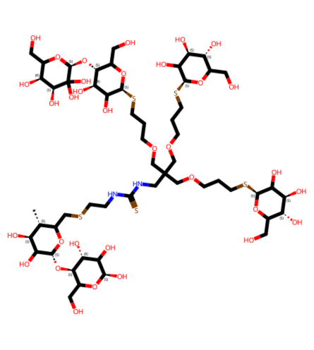 C[C@@H]1C(CSCCNC(=S)NCC(COCCCS[C@@H]2OC(CO)[C@@H](O)[C@H](O)C2O)(COCCCS[C@@H]2OC(CO)[C@@H](O)[C@H](O)C2O)COCCCS[C@@H]2OC(CO)[C@@H](O[C@@H]3OC(CO)[C@H](O)[C@H](O)C3(O)O)[C@H](O)C2O)O[C@H](O[C@@H]2C(CO)O[C@H](O)C(O)[C@H]2O)C(O)[C@H]1O